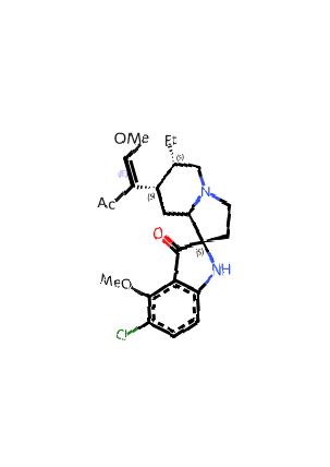 CC[C@@H]1CN2CC[C@]3(Nc4ccc(Cl)c(OC)c4C3=O)C2C[C@@H]1/C(=C\OC)C(C)=O